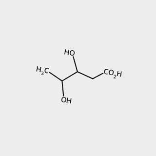 CC(O)C(O)CC(=O)O